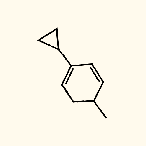 CC1[CH]C=C(C2CC2)C=C1